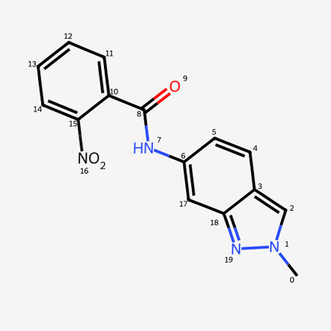 Cn1cc2ccc(NC(=O)c3ccccc3[N+](=O)[O-])cc2n1